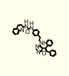 O=C(Nc1ccc(CCNc2ncnc3oc(-c4ccccc4)c(-c4ccccc4)c23)cc1)Nc1ccc2ccccc2n1